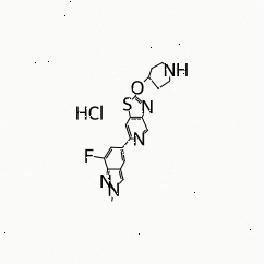 Cl.Cn1cc2cc(-c3cc4sc(OC5CCNCC5)nc4cn3)cc(F)c2n1